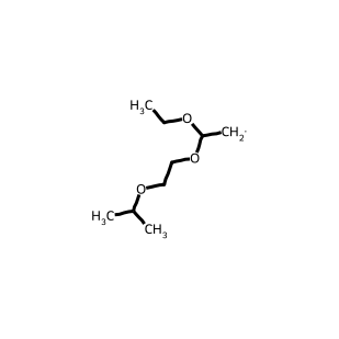 [CH2]C(OCC)OCCOC(C)C